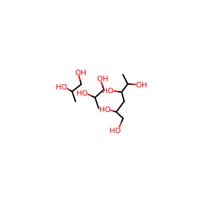 CC(O)C(O)CC(O)CO.CC(O)CO.CC(O)CO